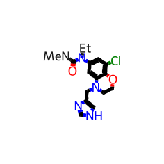 CCN(C(=O)NC)c1cc(Cl)c2c(c1)N(Cc1c[nH]cn1)CCO2